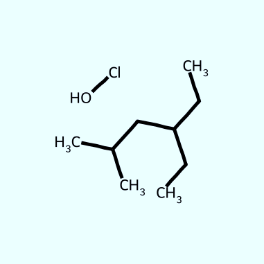 CCC(CC)CC(C)C.OCl